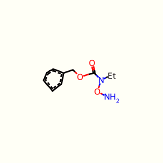 CCN(ON)C(=O)OCc1ccccc1